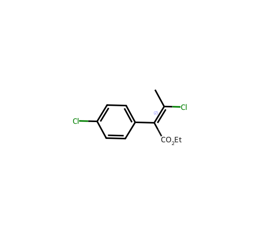 CCOC(=O)/C(=C(/C)Cl)c1ccc(Cl)cc1